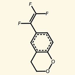 FC(F)=C(F)c1ccc2c(c1)CCOO2